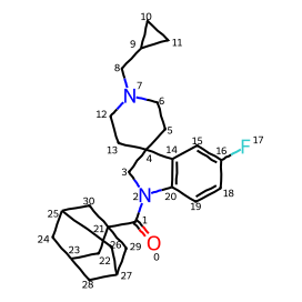 O=C(N1CC2(CCN(CC3CC3)CC2)c2cc(F)ccc21)C12CC3CC(CC(C3)C1)C2